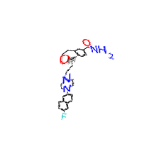 NC(=O)c1ccc2c(c1)CCO[C@H]2CCN1CCN(c2ccc3cc(F)ccc3c2)CC1